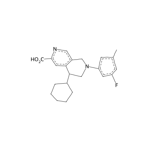 Cc1cc(F)cc(N2Cc3cnc(C(=O)O)cc3C(C3CCCCC3)C2)c1